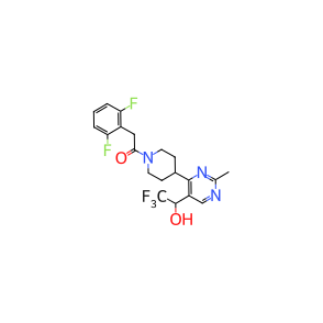 Cc1ncc(C(O)C(F)(F)F)c(C2CCN(C(=O)Cc3c(F)cccc3F)CC2)n1